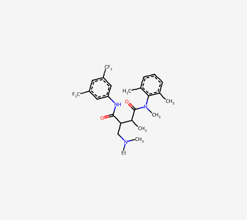 CCN(C)CC(C(=O)Nc1cc(C(F)(F)F)cc(C(F)(F)F)c1)C(C)C(=O)N(C)c1c(C)cccc1C